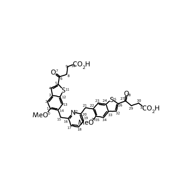 COc1cc2cc(C(=O)CCC(=O)O)sc2cc1Cc1cccc(Cc2cc3sc(C(=O)CCC(=O)O)cc3cc2OC)n1